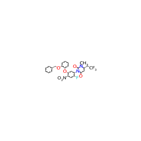 Cn1c(CC(F)(F)F)cc(=O)n(-c2cc(Oc3ccccc3OCc3ccccc3)c([N+](=O)[O-])cc2F)c1=O